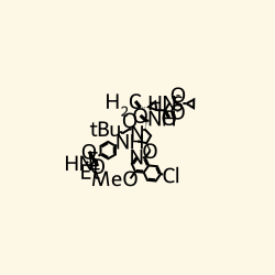 C=C[C@@H]1C[C@]1(NC(=O)[C@@H]1C[C@@H](Oc2ncc(OC)c3ccc(Cl)cc23)CN1C(=O)C(Nc1ccc(S(=O)(=O)NCC)cc1)C(C)(C)C)C(=O)NS(=O)(=O)C1CC1